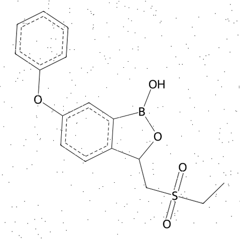 CCS(=O)(=O)CC1OB(O)c2cc(Oc3ccccc3)ccc21